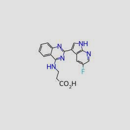 O=C(O)CCNc1nc(-c2c[nH]c3ncc(F)cc23)nc2ccccc12